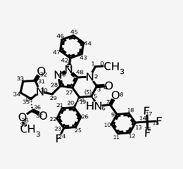 CCN1C(=O)[C@@H](NC(=O)c2cccc(C(F)(F)F)c2)[C@@H](c2ccc(F)cc2)c2c(CN3C(=O)CC[C@H]3C(=O)OC)nn(-c3ccccc3)c21